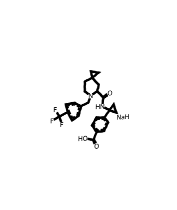 O=C(O)c1ccc(C2(NC(=O)C3CC4(CCN3Cc3ccc(C(F)(F)F)cc3)CC4)CC2)cc1.[NaH]